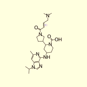 Cc1cc2c(ncn2C(C)C)c(NC2CCN(C(=O)O)C(C3CCN(C(=O)/C=C/CN(C)C)C3)C2)n1